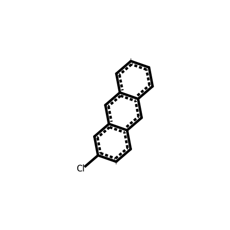 Clc1[c]cc2cc3cc[c]cc3cc2c1